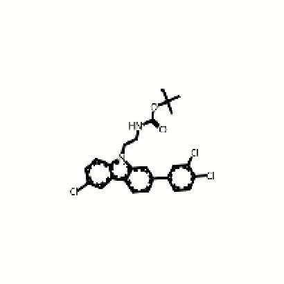 CC(C)(C)OC(=O)NCCn1c2ccc(Cl)cc2c2ccc(-c3ccc(Cl)c(Cl)c3)cc21